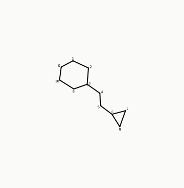 C1CC[C](CCC2CC2)CC1